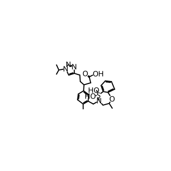 Cc1ccc(C(CCc2cn(C(C)C)nn2)CC(=O)O)cc1CN1CC(C)Oc2ccccc2S1(O)O